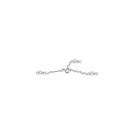 CCCCCCCCCCCCCCCCCCN1C=CN(CCCCCCCCCCCCCCCCCC)C1CCCCCCCCCCCCC